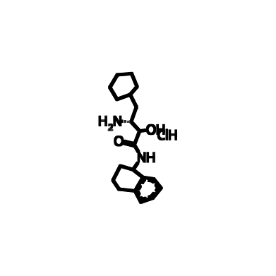 Cl.N[C@H](CC1CCCCC1)C(O)C(=O)NC1CCCc2ccccc21